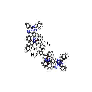 Cc1cc(-c2ccc(C)c(-c3ccc4c(c3)c3cc(-c5ccccc5C)ccc3n4-c3c(-c4ccccc4C#N)cc(-c4nc(-c5ccccc5)nc(-c5ccccc5)n4)cc3-c3ccccc3C#N)c2)cc(-c2ccc3c(c2)c2ccccc2n3-c2c(-c3ccccc3C#N)cc(-c3nc(-c4ccccc4)nc(-c4ccccc4)n3)cc2-c2ccccc2C#N)c1